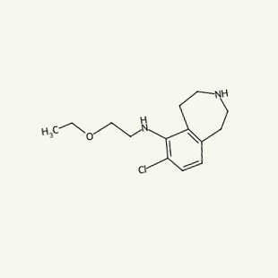 CCOCCNc1c(Cl)ccc2c1CCNCC2